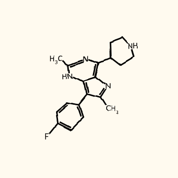 Cc1nc(C2CCNCC2)c2nc(C)c(-c3ccc(F)cc3)c-2[nH]1